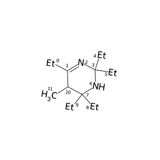 CCC1=NC(CC)(CC)NC(CC)(CC)C1C